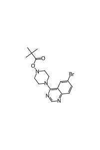 CC(C)(C)C(=O)ON1CCN(c2ncnc3ccc(Br)cc23)CC1